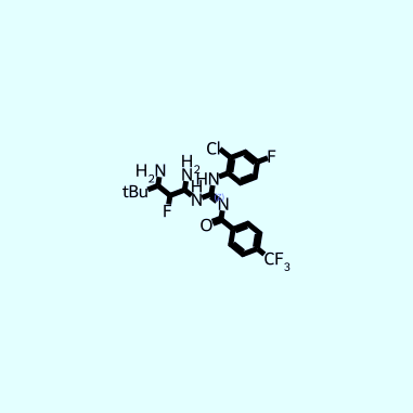 CC(C)(C)C(N)C(F)C(N)N/C(=N\C(=O)c1ccc(C(F)(F)F)cc1)Nc1ccc(F)cc1Cl